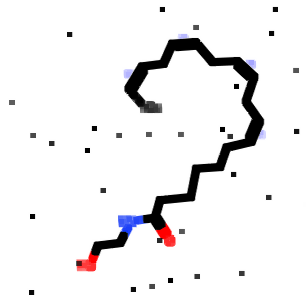 CCCC/C=C\C/C=C\C/C=C\C/C=C\CCCCCC(=O)NCCO